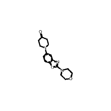 O=C1CCN(c2ccc3oc(N4CCOCC4)nc3c2)CC1